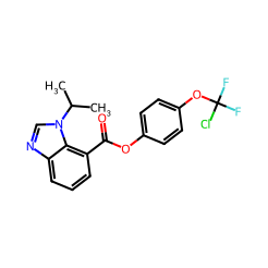 CC(C)n1cnc2cccc(C(=O)Oc3ccc(OC(F)(F)Cl)cc3)c21